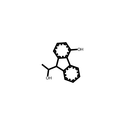 CC(O)C1c2ccccc2-c2c(O)cccc21